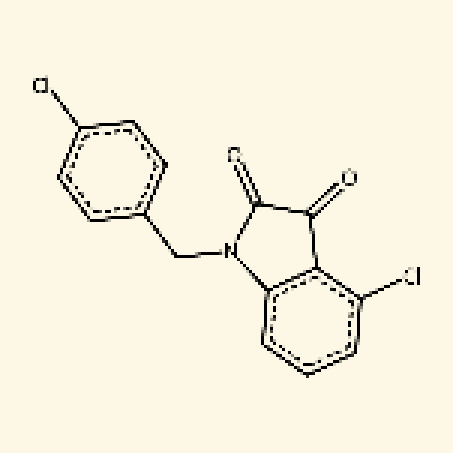 O=C1C(=O)N(Cc2ccc(Cl)cc2)c2cccc(Cl)c21